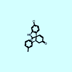 Cc1cccc([C@@H]2CC(=O)C=C[C@@]23C(=O)Nc2cc(Cl)ccc23)c1